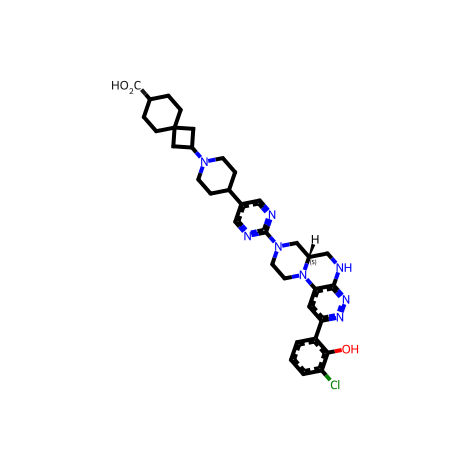 O=C(O)C1CCC2(CC1)CC(N1CCC(c3cnc(N4CCN5c6cc(-c7cccc(Cl)c7O)nnc6NC[C@H]5C4)nc3)CC1)C2